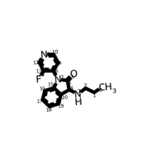 CCCNC1C(=O)N(c2ccncc2F)c2ccccc21